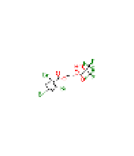 O=C(OCCOC(=O)C(O)(C(F)(F)F)C(F)(F)F)c1c(Br)cc(Br)cc1Br